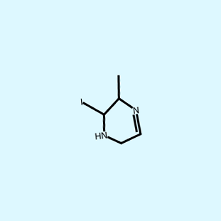 CC1N=CCNC1I